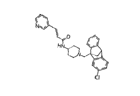 O=C(C=Cc1cccnc1)NC1CCN(CC23CC(c4ccccc42)c2ccc(Cl)cc23)CC1